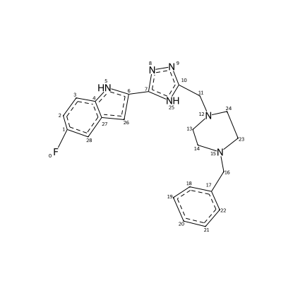 Fc1ccc2[nH]c(-c3nnc(CN4CCN(Cc5ccccc5)CC4)[nH]3)cc2c1